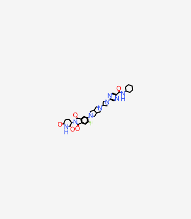 O=C1CCC(N2C(=O)c3cc(F)c(N4CC5CN(C6CN(c7cnc(C(=O)NC8CCCCC8)cn7)C6)CC5C4)cc3C2=O)C(=O)N1